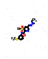 CCS(=O)(=O)c1cc(/C=N/N(C)CC(F)(F)F)cnc1-c1nc2cc(SC(F)(F)F)ccc2o1